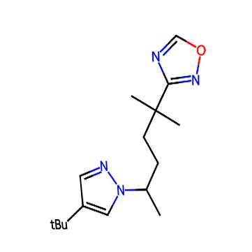 CC(CCC(C)(C)c1ncon1)n1cc(C(C)(C)C)cn1